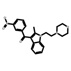 Cc1c(C(=O)c2cccc([N+](=O)[O-])c2)c2ccccc2n1CCN1CCOCC1